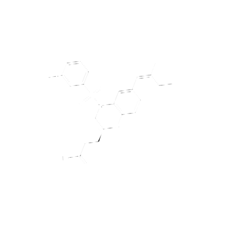 CC/C(C)=C\c1ccc2c(c1)N(S(=O)(=O)c1cccc(C)c1)C[C@H](CCC(=O)O)O2